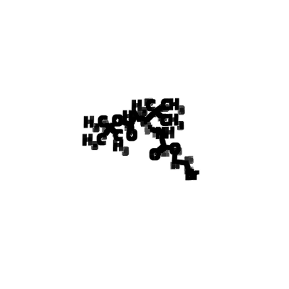 CC(C)(C)OC(=O)N[C@@H](CNC(=O)OCCBr)C(C)(C)C